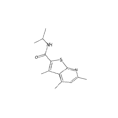 Cc1cc(C)c2c(C)c(C(=O)NC(C)C)sc2n1